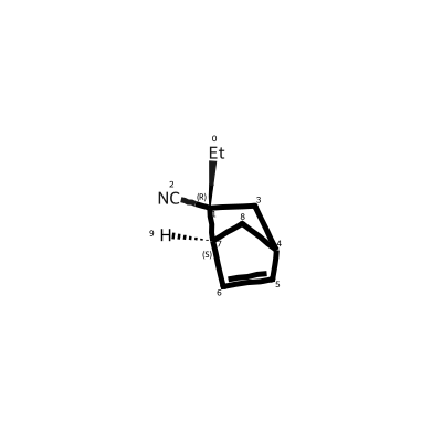 CC[C@@]1(C#N)CC2C=C[C@@H]1C2